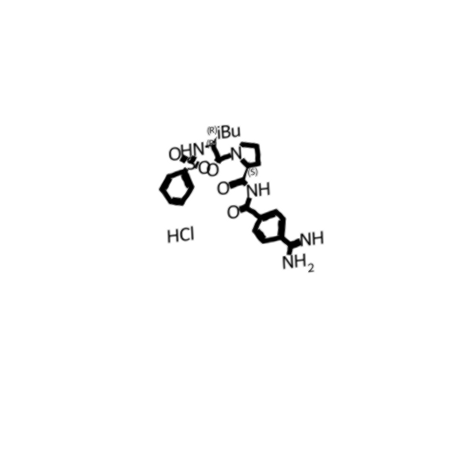 CC[C@@H](C)[C@@H](NS(=O)(=O)c1ccccc1)C(=O)N1CCC[C@H]1C(=O)NC(=O)c1ccc(C(=N)N)cc1.Cl